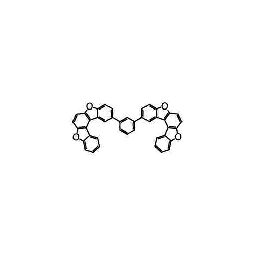 c1cc(-c2ccc3oc4ccc5oc6ccccc6c5c4c3c2)cc(-c2ccc3oc4ccc5oc6ccccc6c5c4c3c2)c1